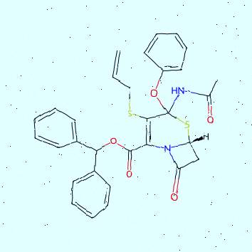 C=CCSC1=C(C(=O)OC(c2ccccc2)c2ccccc2)N2C(=O)C[C@H]2SC1(NC(C)=O)Oc1ccccc1